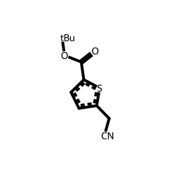 CC(C)(C)OC(=O)c1ccc(CC#N)s1